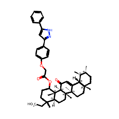 C[C@H]1[C@H](C)CC[C@]2(C)CC[C@]3(C)C(=CC(=O)[C@@H]4[C@@]5(C)C(OC(=O)COc6ccc(-c7cc(-c8ccccc8)[nH]n7)cc6)CCC(C)(CC(=O)O)[C@@H]5CC[C@]43C)[C@H]12